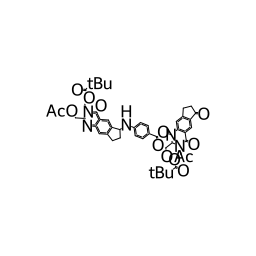 CC(=O)OCc1nc2cc3c(cc2c(=O)n1COC(=O)C(C)(C)C)C(Nc1ccc(C(=O)ON2c4cc5c(cc4C(=O)N(COC(=O)C(C)(C)C)C2COC(C)=O)C(=O)CC5)cc1)CC3